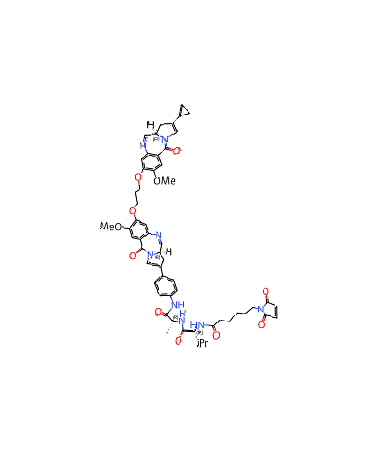 COc1cc2c(cc1OCCCOc1cc3c(cc1OC)C(=O)N1C=C(C4CC4)C[C@@H]1C=N3)N=C[C@H]1CC(c3ccc(NC(=O)[C@@H](C)NC(=O)[C@H](NC(=O)CCCCCN4C(=O)C=CC4=O)C(C)C)cc3)=CN1C2=O